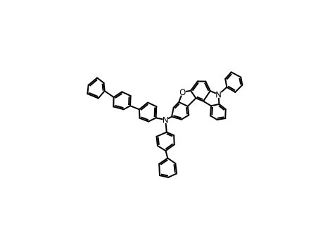 c1ccc(-c2ccc(-c3ccc(N(c4ccc(-c5ccccc5)cc4)c4ccc5c(c4)oc4ccc6c(c7ccccc7n6-c6ccccc6)c45)cc3)cc2)cc1